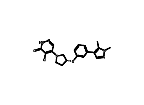 Cc1c(-c2cccc(O[C@@H]3CCN(c4cn[nH]c(=O)c4Cl)C3)c2)cnn1C